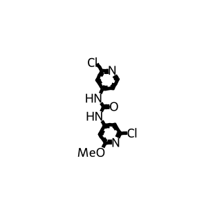 COc1cc(NC(=O)Nc2ccnc(Cl)c2)cc(Cl)n1